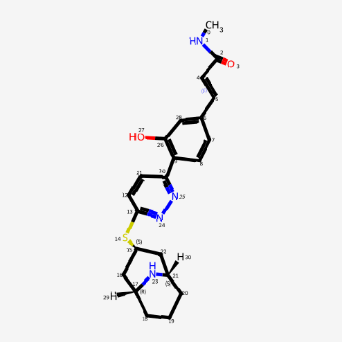 CNC(=O)/C=C/c1ccc(-c2ccc(S[C@@H]3C[C@H]4CCC[C@@H](C3)N4)nn2)c(O)c1